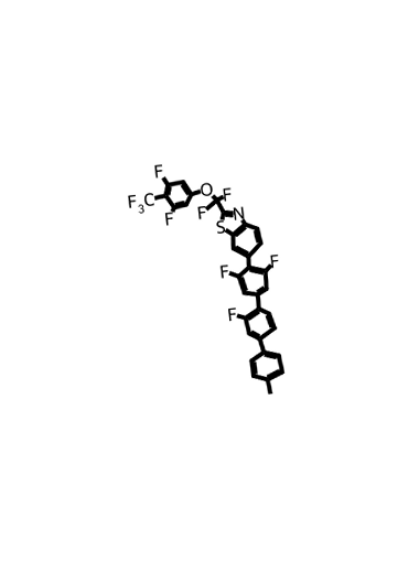 Cc1ccc(-c2ccc(-c3cc(F)c(-c4ccc5nc(C(F)(F)Oc6cc(F)c(C(F)(F)F)c(F)c6)sc5c4)c(F)c3)c(F)c2)cc1